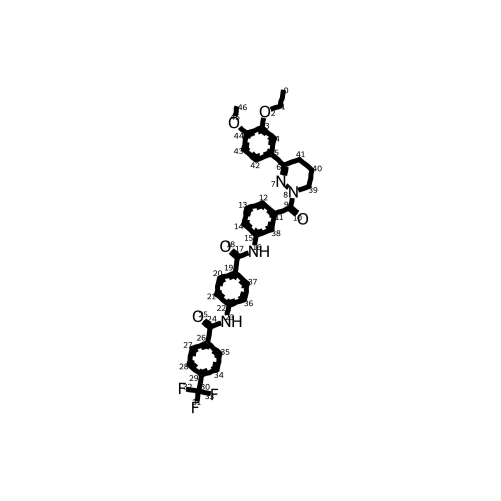 CCOc1cc(C2=NN(C(=O)c3cccc(NC(=O)c4ccc(NC(=O)c5ccc(C(F)(F)F)cc5)cc4)c3)CCC2)ccc1OC